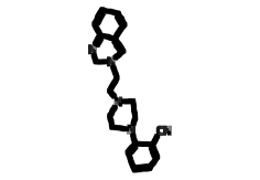 N#Cc1ccccc1N1CCN(CCN2C=c3ccccc3=NC2)CC1